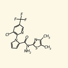 Cc1nc(N(N)C(=O)c2cccn2-c2ncc(C(F)(F)F)cc2Cl)sc1C